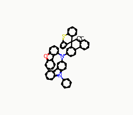 c1ccc(-n2c3ccccc3c3cc(N(c4ccc5c(c4)C4(c6ccccc6Sc6ccccc64)c4cccc6cccc-5c46)c4cccc5oc6ccccc6c45)ccc32)cc1